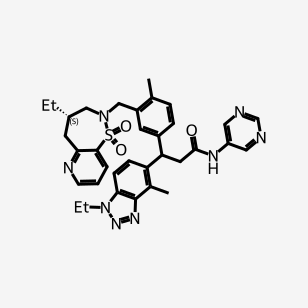 CC[C@H]1Cc2ncccc2S(=O)(=O)N(Cc2cc(C(CC(=O)Nc3cncnc3)c3ccc4c(nnn4CC)c3C)ccc2C)C1